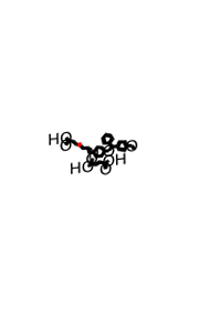 COc1ccc(C(OC2CCN(CCCCCCC(=O)O)CC2)c2ccccc2)cc1.O=C(O)C=CC(=O)O